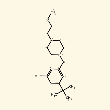 COCCN1CCN(Cc2cc(F)cc(C(C)(C)C)c2)CC1